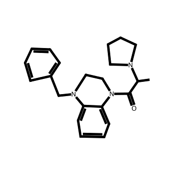 CC(C(=O)N1CCN(Cc2ccccc2)c2ccccc21)N1CCCC1